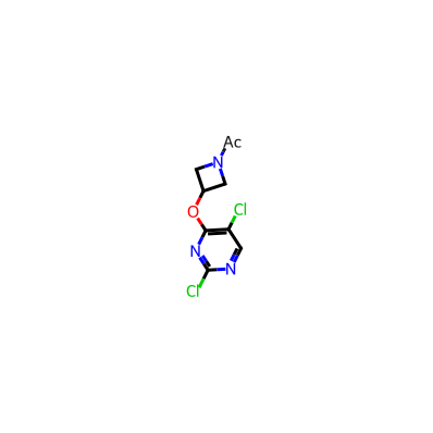 CC(=O)N1CC(Oc2nc(Cl)ncc2Cl)C1